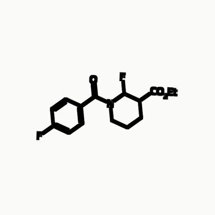 CCOC(=O)C1CCCN(C(=O)c2ccc(F)cc2)C1F